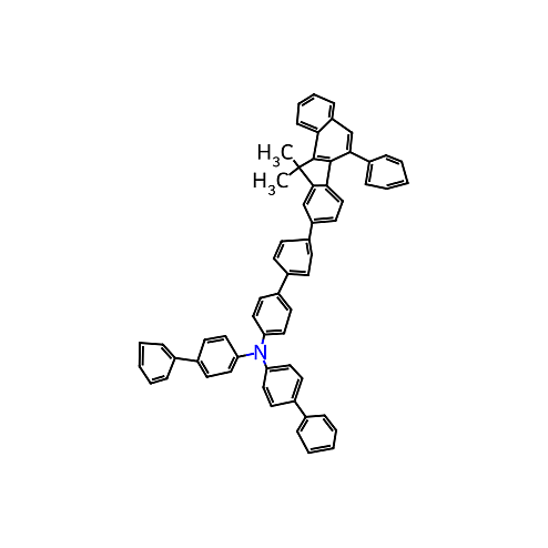 CC1(C)c2cc(-c3ccc(-c4ccc(N(c5ccc(-c6ccccc6)cc5)c5ccc(-c6ccccc6)cc5)cc4)cc3)ccc2-c2c(-c3ccccc3)cc3ccccc3c21